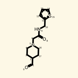 O=CC1CCN(CC(=O)NCc2cccs2)CC1